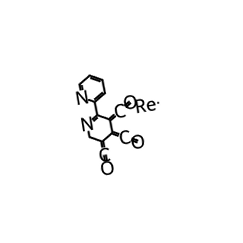 O=C=C1CN=C(c2ccccn2)C(=C=O)C1=C=O.[Re]